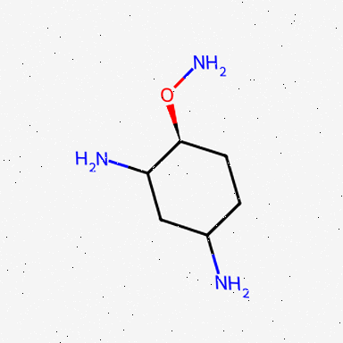 NO[C@H]1CCC(N)CC1N